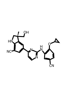 C[C@]1(CO)CNc2c(C#N)cc(-c3ccnc(Nc4cc(C#N)ccc4OC4CC4)n3)cc21